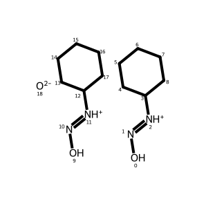 ON=[NH+]C1CCCCC1.ON=[NH+]C1CCCCC1.[O-2]